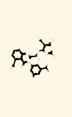 C[C@H](Nc1nc(N)nc(N)c1C#N)c1nc2cccc(C#N)c2c(=O)n1-c1cc(F)cc(C(F)F)c1